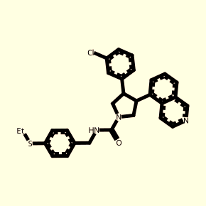 CCSc1ccc(CNC(=O)N2CC(c3cccc(Cl)c3)C(c3cccc4cnccc34)C2)cc1